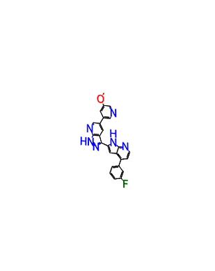 COc1cncc(-c2cnc3[nH]nc(-c4cc5c(-c6cccc(F)c6)ccnc5[nH]4)c3c2)c1